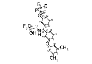 Cc1cc(C)cc(Oc2cccc(C(NCC(O)C(F)(F)F)c3cccc(OC(F)(F)C(F)F)c3)c2)c1